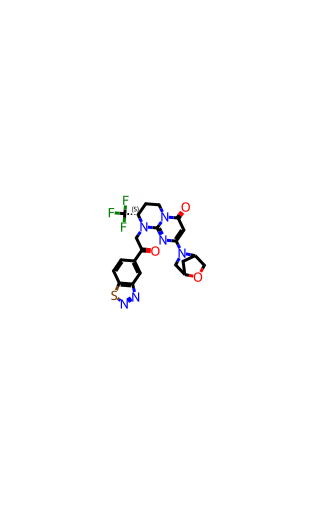 O=C(CN1c2nc(N3CC4CC3CO4)cc(=O)n2CC[C@H]1C(F)(F)F)c1ccc2snnc2c1